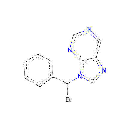 [CH2]CC(c1ccccc1)n1cnc2cncnc21